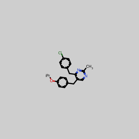 Cc1ncc(Cc2ccc(OC(C)C)cc2)c(Cc2ccc(Cl)cc2)n1